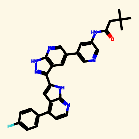 CC(C)(C)CC(=O)Nc1cncc(-c2cnc3[nH]nc(-c4cc5c(-c6ccc(F)cc6)ccnc5[nH]4)c3c2)c1